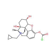 O=C(Cl)Oc1ccc2c3c1OC1[C@H](O)CC[C@@]4(O)[C@@H](C2)N(CC2CC2)CC[C@]314